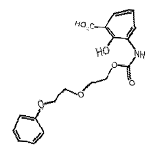 O=C(Nc1cccc(C(=O)O)c1O)OCCOCCOc1ccccc1